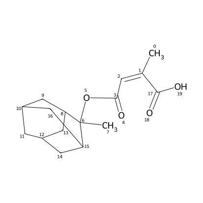 CC(=CC(=O)OC1(C)C2CC3CC(C2)CC1C3)C(=O)O